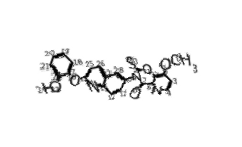 COc1ccnc2c(=O)n(-c3ccc4nc(Oc5ccccc5OI)ccc4c3)c(=S)oc12